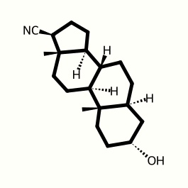 C[C@]12CC[C@@H](O)C[C@@H]1CC[C@@H]1[C@@H]2CC[C@]2(C)[C@@H](C#N)CC[C@@H]12